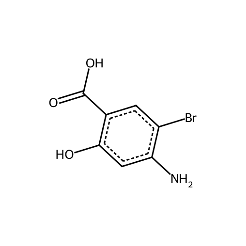 Nc1cc(O)c(C(=O)O)cc1Br